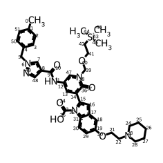 Cc1ccc(Cn2cc(C(=O)Nc3cc(-c4cc5cc(OCCN6CCCCC6)ccc5n4C(=O)O)c(=O)n(COCC[Si](C)(C)C)c3)cn2)cc1